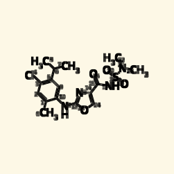 Cc1cc(Cl)c(C(C)C)cc1Nc1nc(C(=O)NS(=O)(=O)N(C)C)co1